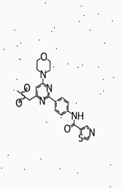 CS(=O)(=O)Cc1cc(N2CCOCC2)nc(-c2ccc(NC(=O)c3cncs3)cc2)n1